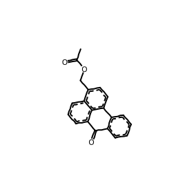 CC(=O)OCc1ccc2c3c(cccc13)C(=O)c1ccccc1-2